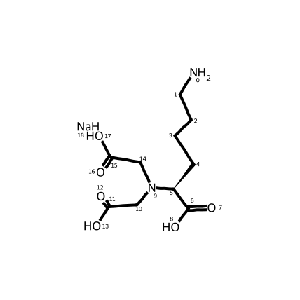 NCCCC[C@@H](C(=O)O)N(CC(=O)O)CC(=O)O.[NaH]